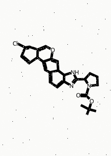 CC(C)(C)OC(=O)N1CCCC1C1=NC2=CC=C3C=C4C(=CC3C2N1)OC=C1C=C(Cl)C=CC14